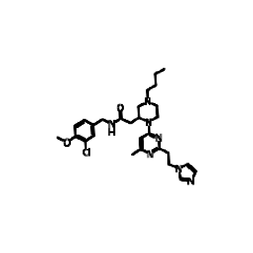 CCCCN1CCN(c2cc(C)nc(CCn3ccnc3)n2)C(CC(=O)NCc2ccc(OC)c(Cl)c2)C1